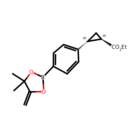 C=C1OB(c2ccc([C@@H]3C[C@H]3C(=O)OCC)cc2)OC1(C)C